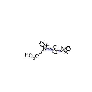 C[N+]1=C(/C=C/C2=C(Cl)C(=C/C=C3/N(CCCCCC(=O)O)c4ccccc4C3(C)C)/CCC2)C(C)(C)c2ccccc21